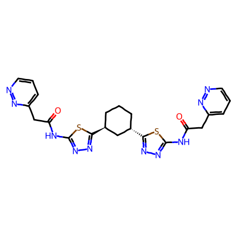 O=C(Cc1cccnn1)Nc1nnc([C@H]2CCC[C@H](c3nnc(NC(=O)Cc4cccnn4)s3)C2)s1